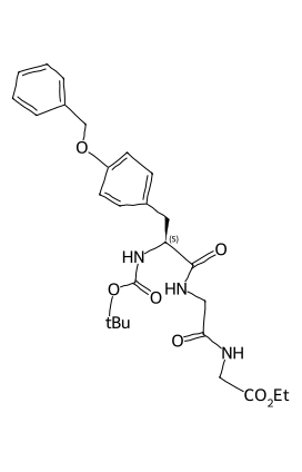 CCOC(=O)CNC(=O)CNC(=O)[C@H](Cc1ccc(OCc2ccccc2)cc1)NC(=O)OC(C)(C)C